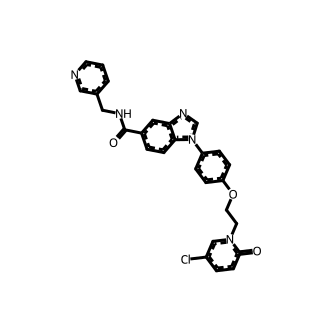 O=C(NCc1cccnc1)c1ccc2c(c1)ncn2-c1ccc(OCCn2cc(Cl)ccc2=O)cc1